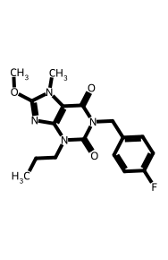 CCCn1c(=O)n(Cc2ccc(F)cc2)c(=O)c2c1nc(OC)n2C